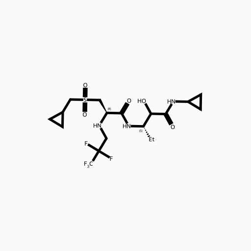 CC[C@H](NC(=O)[C@H](CS(=O)(=O)CC1CC1)NCC(F)(F)C(F)(F)F)C(O)C(=O)NC1CC1